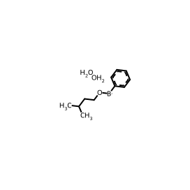 CC(C)CCO[B]c1ccccc1.O.O